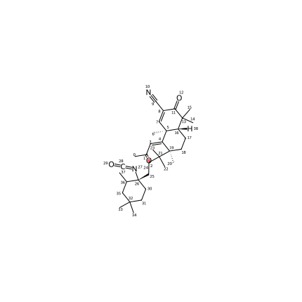 CC(=O)/C=C1/[C@@]2(C)C=C(C#N)C(=O)C(C)(C)[C@@H]2CC[C@@]1(C)C(C)(C)CC[C@@]1(N=C=O)CCC(C)(C)CC1C